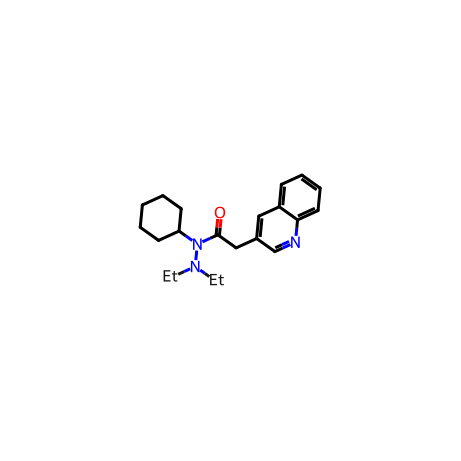 CCN(CC)N(C(=O)Cc1cnc2ccccc2c1)C1CCCCC1